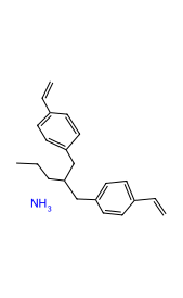 C=Cc1ccc(CC(CCC)Cc2ccc(C=C)cc2)cc1.N